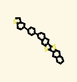 c1ccc2cc3c(cc2c1)sc1c2cc4ccc(-c5ccc(-c6ccc7sccc7c6)cc5)cc4cc2sc31